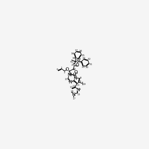 C=CCOC1CC(n2cc(I)c(C(=C)/N=C\N(C)C)c2/N=C\N)OC1CO[Si]1(c2ccccc2)c2ccccc2C1(C)C